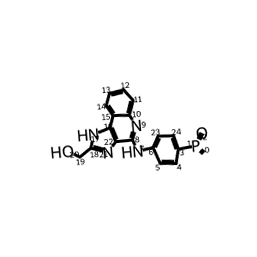 C=P(=O)c1ccc(Nc2nc3ccccc3c3[nH]c(CO)nc23)cc1